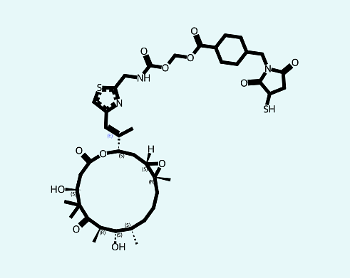 C/C(=C\c1csc(CNC(=O)OCOC(=O)C2CCC(CN3C(=O)CC(S)C3=O)CC2)n1)[C@@H]1C[C@@H]2O[C@]2(C)CCC[C@H](C)[C@H](O)[C@@H](C)C(=O)C(C)(C)[C@@H](O)CC(=O)O1